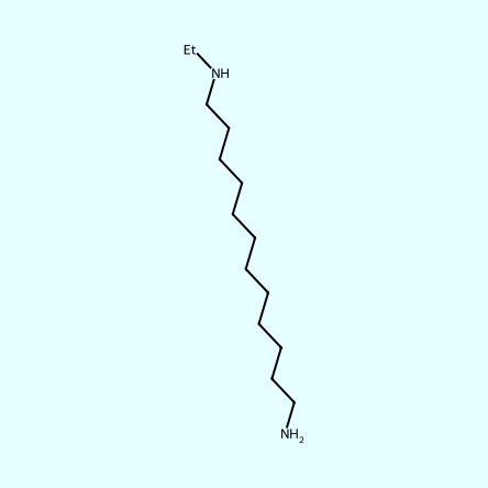 CCNCCCCCCCCCCCCN